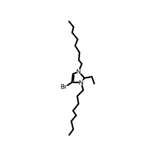 CCCCCCCCN1C=C(Br)N(CCCCCCCC)C1CC